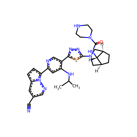 CC(C)Nc1cc(-c2ccc3cc(C#N)cnn23)ncc1-c1nnc(N2C[C@H]3CC[C@@H](C2)[C@@H]3NC(=O)N2CCNCC2)s1